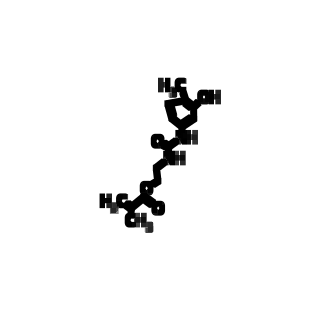 C=C(C)C(=O)OCCNC(=O)Nc1ccc(C)c(O)c1